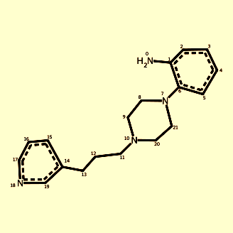 Nc1ccccc1N1CCN(CCCc2cccnc2)CC1